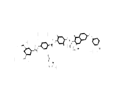 COc1ccc(Nc2ccc3c(O)c(N=Nc4cc(C)c(N=Nc5cc(C)c(N=Nc6cc(C(=O)O)cc(C(=O)O)c6)cc5OCCCS(=O)(=O)O)cc4C)c(S(=O)(=O)O)cc3c2)cc1